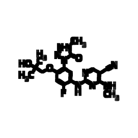 CNc1nc(Nc2cc(-n3nnn(C)c3=O)c(OCC(C)(C)O)cc2F)ncc1C#N